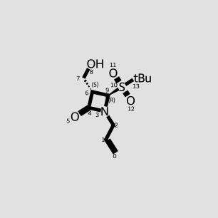 C=CCN1C(=O)[C@H](CO)[C@H]1S(=O)(=O)C(C)(C)C